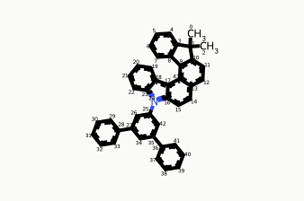 CC1(C)c2ccccc2-c2c1ccc1ccc3c(c4ccccc4n3-c3cc(-c4ccccc4)cc(-c4ccccc4)c3)c21